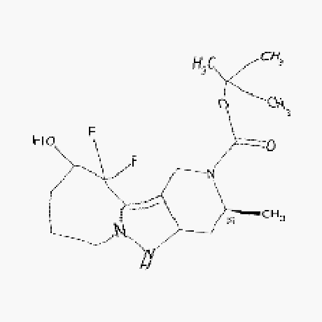 C[C@H]1CC2NN3CCCC(O)C(F)(F)C3=C2CN1C(=O)OC(C)(C)C